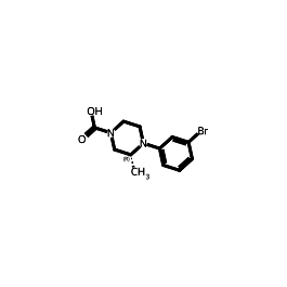 C[C@@H]1CN(C(=O)O)CCN1c1cccc(Br)c1